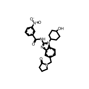 O=C(Nc1nc2cc(CN3CCCC3=O)ccc2n1C1CCC(O)CC1)c1cccc([N+](=O)[O-])c1